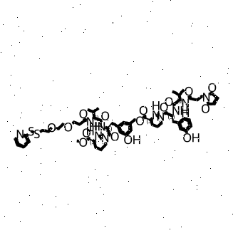 COC(=O)[C@@H]1CCCN(C(=O)[C@H](Cc2cc(O)cc(COC(=O)[C@@H]3CCCN(C(=O)[C@H](Cc4cccc(O)c4)NC(=O)[C@@H](NC(=O)CCN4C(=O)C=CC4=O)C(C)C)N3)c2)NC(=O)[C@@H](NC(=O)CCOCCOCCSSc2ccccn2)C(C)C)N1